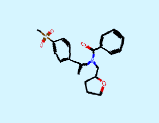 CC(c1ccc(S(C)(=O)=O)cc1)N(CC1CCCO1)C(=O)c1ccccc1